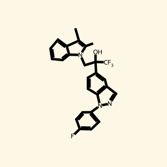 Cc1c(C)n(CC(O)(c2ccc3c(cnn3-c3ccc(F)cc3)c2)C(F)(F)F)c2ccccc12